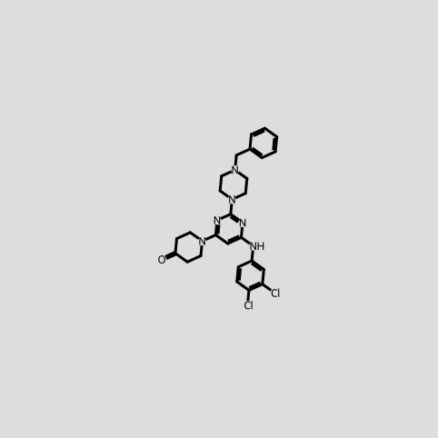 O=C1CCN(c2cc(Nc3ccc(Cl)c(Cl)c3)nc(N3CCN(Cc4ccccc4)CC3)n2)CC1